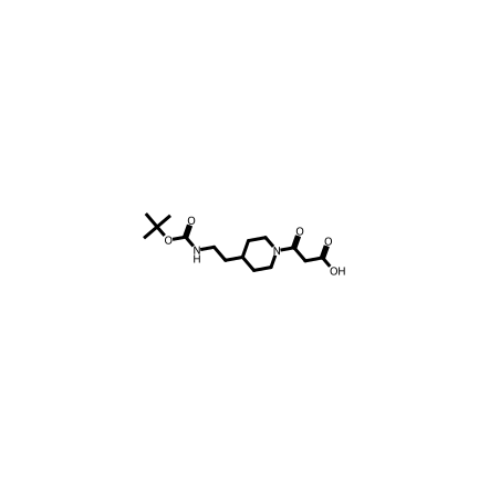 CC(C)(C)OC(=O)NCCC1CCN(C(=O)CC(=O)O)CC1